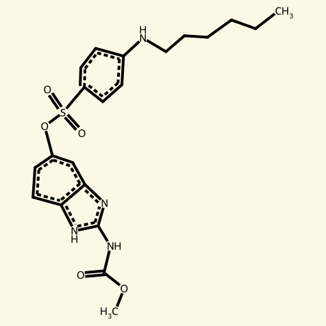 CCCCCCNc1ccc(S(=O)(=O)Oc2ccc3[nH]c(NC(=O)OC)nc3c2)cc1